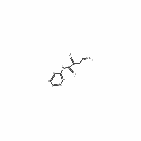 C=CCC(=O)C(=O)Oc1ccccc1